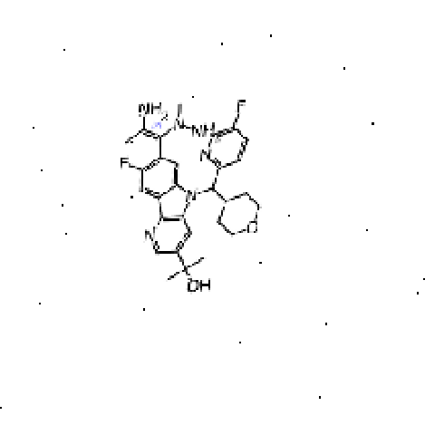 C/C(N)=C(\c1cc2c(cc1F)c1ncc(C(C)(C)O)cc1n2C(c1ccc(F)cn1)C1CCOCC1)N(C)N